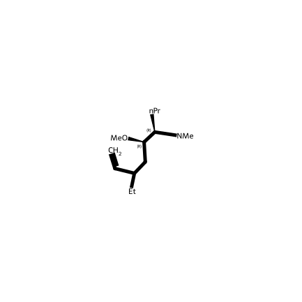 C=CC(CC)C[C@@H](OC)[C@@H](CCC)NC